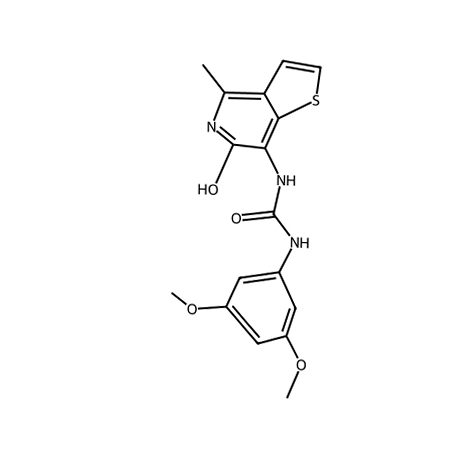 COc1cc(NC(=O)Nc2c(O)nc(C)c3ccsc23)cc(OC)c1